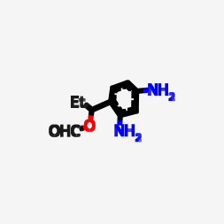 CCC(OC=O)c1ccc(N)cc1N